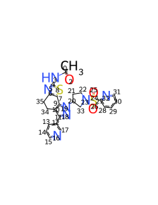 CC(=O)Nc1nc2c(s1)-c1c(c(-c3cccnc3)nn1C1CCN(S(=O)(=O)c3ccccn3)C1)CC2